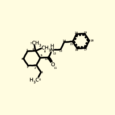 CCC1CCCC(C)(C)C1C(=O)NCCc1ccccc1